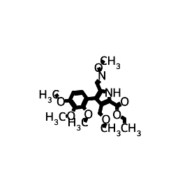 CCOC(=O)c1[nH]c(/C=N/OC)c(-c2ccc(OC)c(OC)c2OC)c1COC